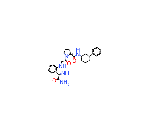 N=C(C(N)=O)c1ccccc1NCC(=O)N1CCC[C@H]1C(=O)NC1CCCC(c2ccccc2)C1